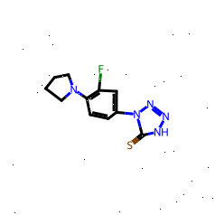 Fc1cc(-n2nn[nH]c2=S)ccc1N1CCCC1